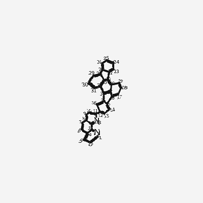 c1cnc2c(c1)ccc1ccc(-c3ccc4c5cccc6c7c8ccccc8c8cccc(c87)c(c4c3)c56)nc12